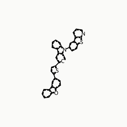 c1ccc2c(c1)oc1ccc(-c3ccc(-c4ccc5c(c4)c4ccccc4n5-c4ccc5sc6ncccc6c5c4)s3)cc12